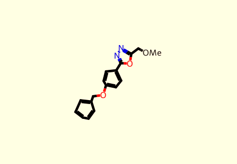 COCc1nnc(-c2ccc(OCc3ccccc3)cc2)o1